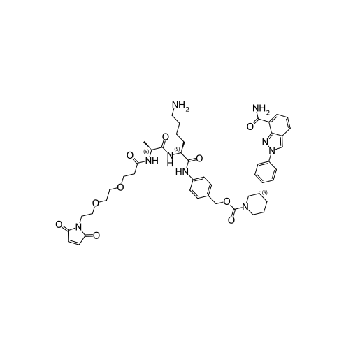 C[C@H](NC(=O)CCOCCOCCN1C(=O)C=CC1=O)C(=O)N[C@@H](CCCCN)C(=O)Nc1ccc(COC(=O)N2CCC[C@@H](c3ccc(-n4cc5cccc(C(N)=O)c5n4)cc3)C2)cc1